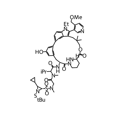 CCn1c(-c2cnccc2COC)c2c3cc(ccc31)-c1cc(O)cc(c1)C[C@H](NC(=O)C(C(C)C)N(C)C(=O)CN(C)S(=O)(=O)[C@@H]1C(C3CC3)N1SC(C)(C)C)C(=O)N1CCC[C@H](N1)C(=O)OCC(C)(C)C2